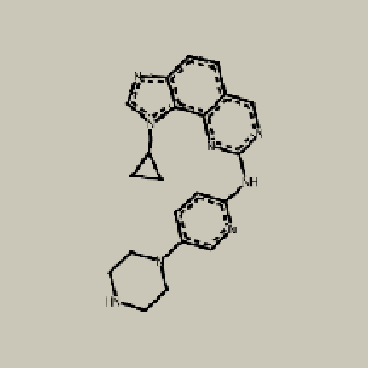 c1cc(Nc2ncc3ccc4ncn(C5CC5)c4c3n2)ncc1N1CCNCC1